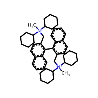 C[N+](Cc1ccc2ccccc2c1-c1c(C[N+](C)(C2CCCCC2)C2CCCCC2)ccc2ccccc12)(C1CCCCC1)C1CCCCC1